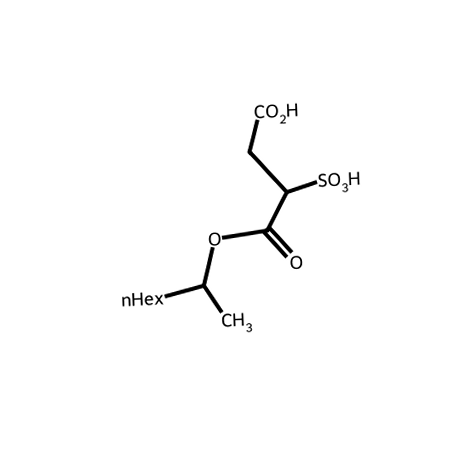 CCCCCCC(C)OC(=O)C(CC(=O)O)S(=O)(=O)O